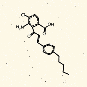 CCCCCc1ccc(C=CC(=O)c2c(C(=O)O)ccc(Cl)c2N)cc1